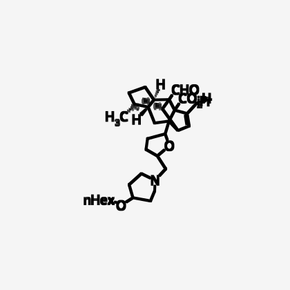 CCCCCCOC1CCN(CC2CCC(C34C[C@@H]5[C@H](C)CC[C@H]5C5(C=O)CC3C=C(C(C)C)C45C(=O)O)O2)CC1